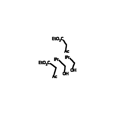 CC(C)CO.CC(C)CO.CCOC(=O)CC(C)=O.CCOC(=O)CC(C)=O